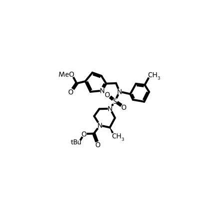 COC(=O)c1ccc(CN(c2cccc(C)c2)S(=O)(=O)N2CCN(C(=O)OC(C)(C)C)[C@H](C)C2)nc1